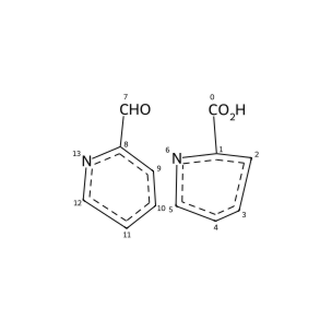 O=C(O)c1ccccn1.O=Cc1ccccn1